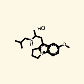 COc1ccc2c(c1)c(CC(C)NCC(C)C)c1n2CCC1.Cl